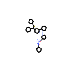 c1ccc(-c2nnc(-c3cccc(-n4c5ccccc5c5c6sc(-c7ccccc7)c(-c7ccccc7)c6ccc54)c3)o2)cc1